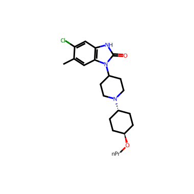 CCCO[C@H]1CC[C@H](N2CCC(n3c(=O)[nH]c4cc(Cl)c(C)cc43)CC2)CC1